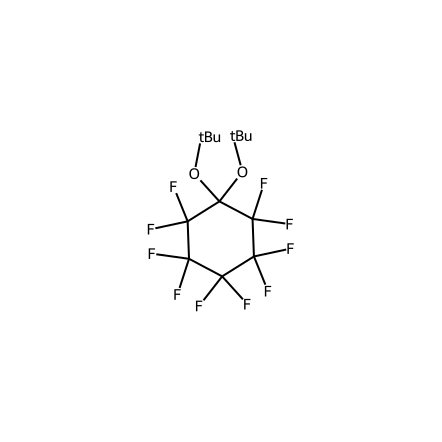 CC(C)(C)OC1(OC(C)(C)C)C(F)(F)C(F)(F)C(F)(F)C(F)(F)C1(F)F